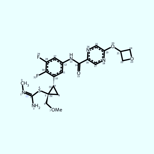 C/N=C(/N)S[C@@]1(COC)C[C@H]1c1cc(NC(=O)c2cnc(OC3COC3)cn2)cc(F)c1F